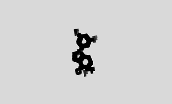 O=C1c2ccn(-c3cc(F)cc(F)c3)c2CCC1(F)F